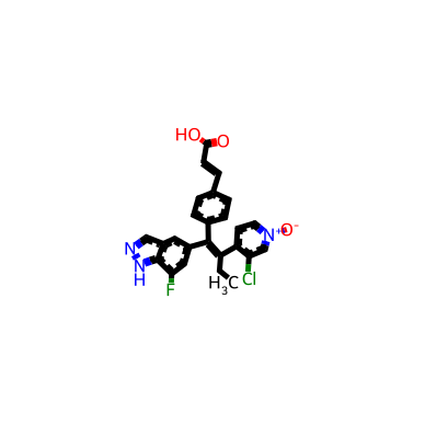 CC/C(=C(/c1ccc(/C=C/C(=O)O)cc1)c1cc(F)c2[nH]ncc2c1)c1cc[n+]([O-])cc1Cl